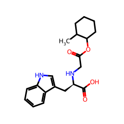 CC1CCCCC1OC(=O)CN[C@H](Cc1c[nH]c2ccccc12)C(=O)O